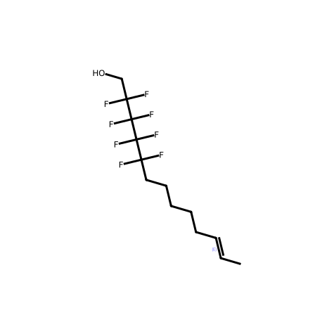 C/C=C/CCCCCC(F)(F)C(F)(F)C(F)(F)C(F)(F)CO